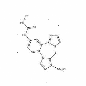 CCNC(=O)Nc1ccc2c(c1)-c1ncnn1Cc1c(C(=O)OCC)ncn1-2